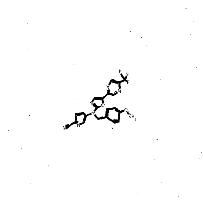 COc1ccc(CN(c2ccc(C#N)nc2)c2ncc(-c3cnc(C(F)(F)F)cn3)o2)cc1